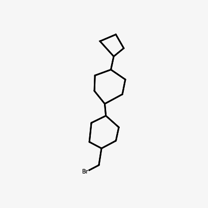 BrCC1CCC(C2CCC(C3CCC3)CC2)CC1